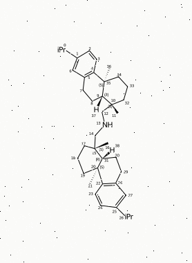 CC(C)c1ccc2c(c1)CC[C@H]1[C@@](C)(CNC[C@@]3(C)CCC[C@]4(C)c5ccc(C(C)C)cc5CC[C@@H]34)CCC[C@]21C